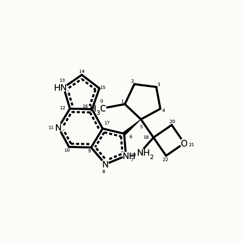 CC1CCC[C@]1(c1[nH]nc2cnc3[nH]ccc3c12)C1(N)COC1